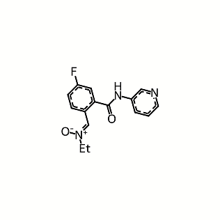 CC/[N+]([O-])=C/c1ccc(F)cc1C(=O)Nc1cccnc1